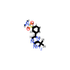 CN(C)S(=O)(=O)c1cccc(-c2cnc(N)c(C(C)(C)C)n2)c1